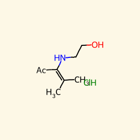 CC(=O)C(NCCO)=C(C)C.Cl